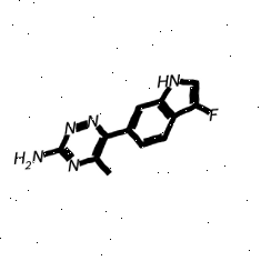 Cc1nc(N)nnc1-c1ccc2c(F)c[nH]c2c1